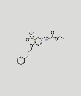 CCOC(=O)/C=C/c1ccc(OCCCc2ccccc2)c([N+](=O)[O-])c1